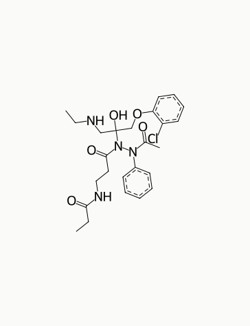 CCNCC(O)(COc1ccccc1Cl)N(C(=O)CCNC(=O)CC)N(C(C)=O)c1ccccc1